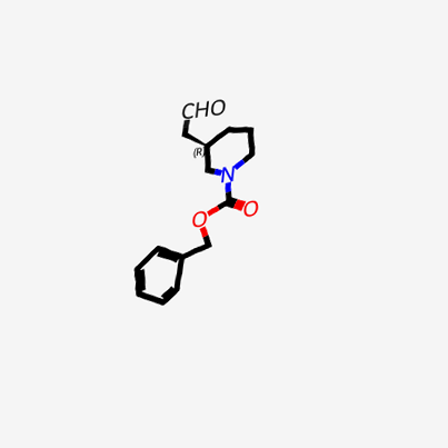 O=CC[C@H]1CCCN(C(=O)OCc2ccccc2)C1